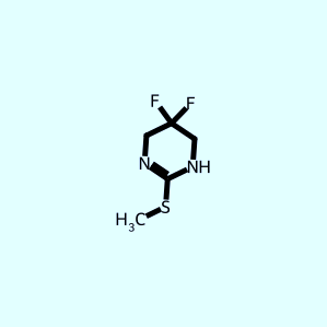 CSC1=NCC(F)(F)CN1